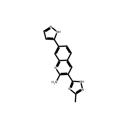 Cc1n[nH]c(-c2cc3ccc(-c4ccn[nH]4)cc3nc2N)n1